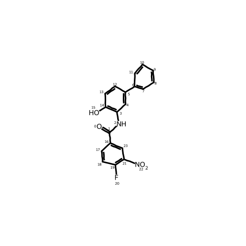 O=C(Nc1cc(-c2ccccc2)ccc1O)c1ccc(F)c([N+](=O)[O-])c1